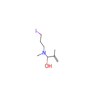 C=C(C)C(O)N(C)CCCI